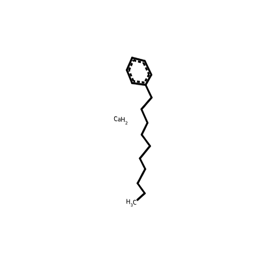 CCCCCCCCCCc1ccccc1.[CaH2]